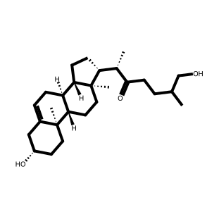 CC(CO)CCC(=O)[C@@H](C)[C@H]1CC[C@H]2[C@@H]3CC=C4C[C@@H](O)CC[C@]4(C)[C@H]3CC[C@]12C